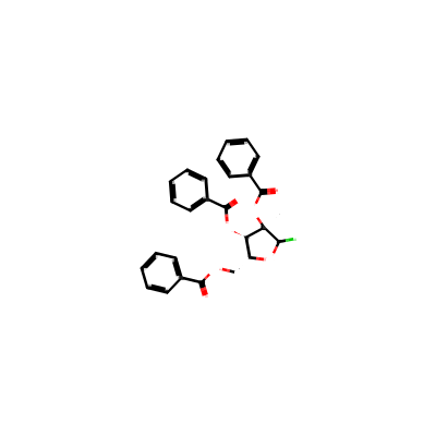 C[C@]1(OC(=O)c2ccccc2)C(Cl)O[C@H](COC(=O)c2ccccc2)[C@H]1OC(=O)c1ccccc1